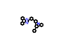 C1=c2c(n3c4ccc(-c5cccc(-c6cnc7c8ccccc8c8ccccc8c7n6)c5)cc4c4cc(-c5ccccc5)cc2c43)=CCC1